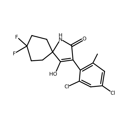 Cc1cc(Cl)cc(Cl)c1C1=C(O)C2(CCC(F)(F)CC2)NC1=O